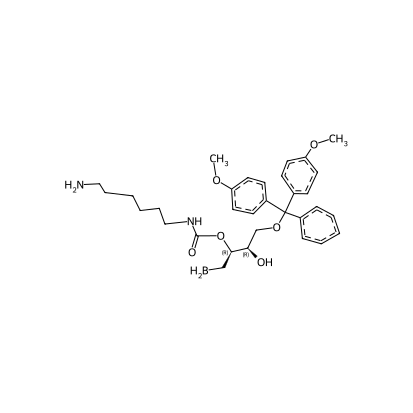 BC[C@@H](OC(=O)NCCCCCCN)[C@H](O)COC(c1ccccc1)(c1ccc(OC)cc1)c1ccc(OC)cc1